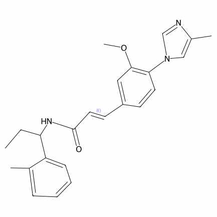 CCC(NC(=O)/C=C/c1ccc(-n2cnc(C)c2)c(OC)c1)c1ccccc1C